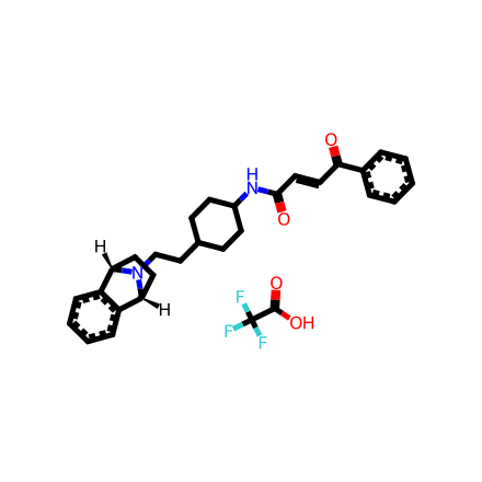 O=C(C=CC(=O)c1ccccc1)NC1CCC(CCN2[C@@H]3CC[C@H]2c2ccccc23)CC1.O=C(O)C(F)(F)F